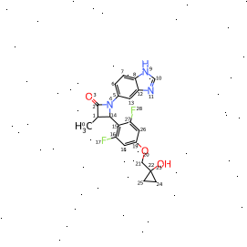 CC1C(=O)N(c2ccc3[nH]cnc3c2)C1c1c(F)cc(OCC2(O)CC2)cc1F